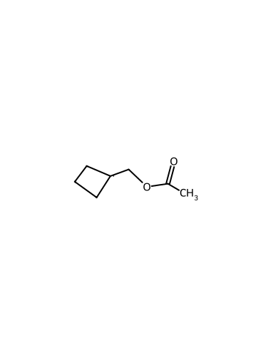 CC(=O)OC[C]1CCC1